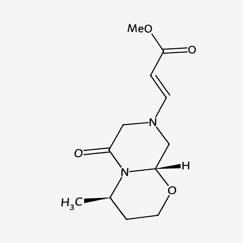 COC(=O)/C=C/N1CC(=O)N2[C@H](C)CCO[C@H]2C1